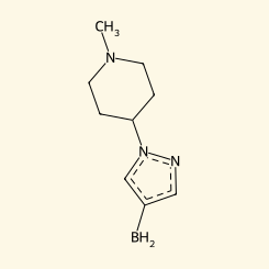 Bc1cnn(C2CCN(C)CC2)c1